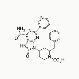 NC(=O)c1nc(-c2cccnc2)nc2c1[nH]c(=O)n2C1CCN(C(=O)O)C(Cc2ccccc2)C1